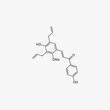 C=CCc1cc(C=CC(=O)c2ccc(O)cc2)c(OC)c(CC=C)c1O